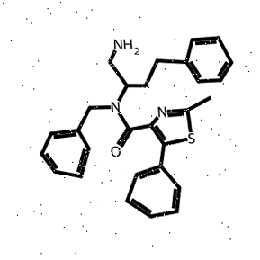 Cc1nc(C(=O)N(Cc2ccccc2)C(CN)CCc2ccccc2)c(-c2ccccc2)s1